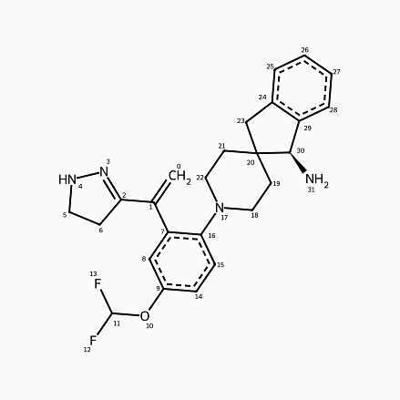 C=C(C1=NNCC1)c1cc(OC(F)F)ccc1N1CCC2(CC1)Cc1ccccc1[C@H]2N